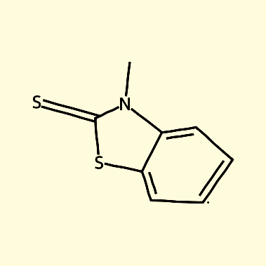 Cn1c(=S)sc2c[c]ccc21